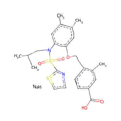 Cc1cc(OCc2ccc(C(=O)O)cc2C)c(N(CC(C)C)S(=O)(=O)c2nccs2)cc1C.[NaH]